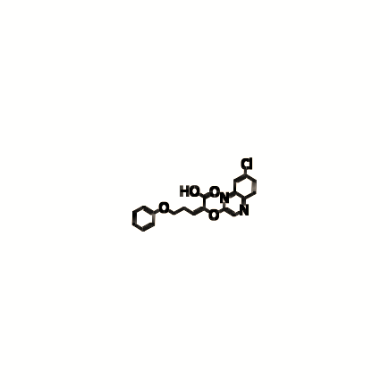 O=C(O)C(=CCCOc1ccccc1)Oc1cnc2ccc(Cl)cc2n1